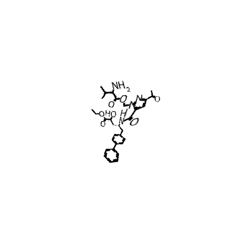 CCOC(=O)C(O)C[C@@H](Cc1ccc(-c2ccccc2)cc1)NC(=O)c1cc(C(C)=O)nn1COC(=O)C(N)C(C)C